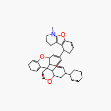 CN1CCCc2c1oc1c2C(C2=CC3OC4=CCCC=C4C4(C3C=C2)C2C=CC=CC2OC2CC(C3C=CCCC3)C=CC24)CC=C1